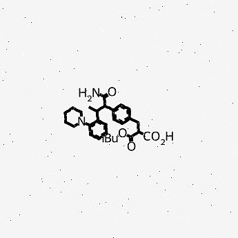 CCC(C)OC(=O)C(Cc1ccc(C(C(N)=O)C(C)c2ccccc2N2CCCCC2)cc1)C(=O)O